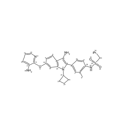 Cc1cc(-c2c(N)c3ccc(Oc4ncccc4N)cc3n2C2CCC2)ccc1NS(=O)(=O)CC(C)C